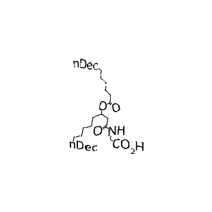 CCCCCCCCCCCCCCCC(=O)OC(CCCCCCCCCCCCCCC)CC(=O)NCC(=O)O